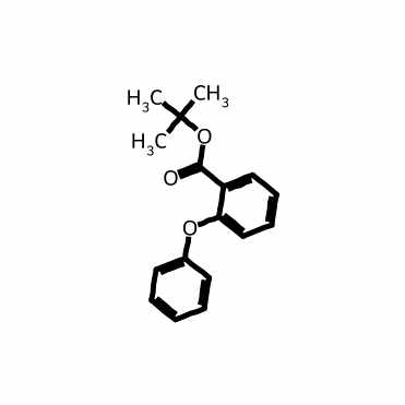 CC(C)(C)OC(=O)c1ccccc1Oc1ccccc1